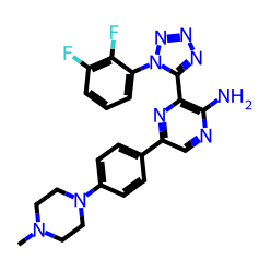 CN1CCN(c2ccc(-c3cnc(N)c(-c4nnnn4-c4cccc(F)c4F)n3)cc2)CC1